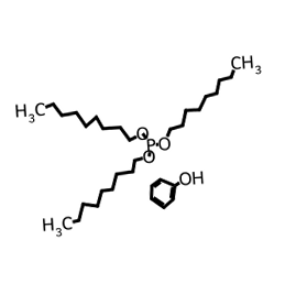 CCCCCCCCCOP(OCCCCCCCCC)OCCCCCCCCC.Oc1ccccc1